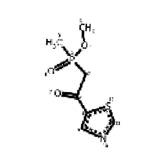 COP(C)(=O)CC(=O)c1cncs1